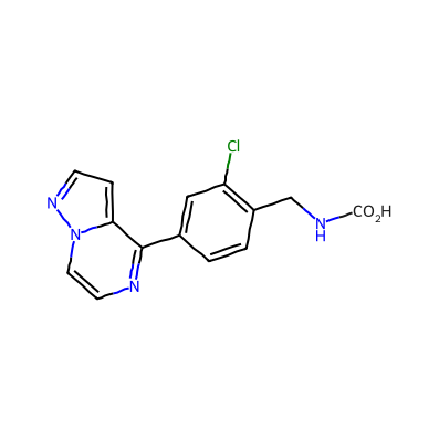 O=C(O)NCc1ccc(-c2nccn3nccc23)cc1Cl